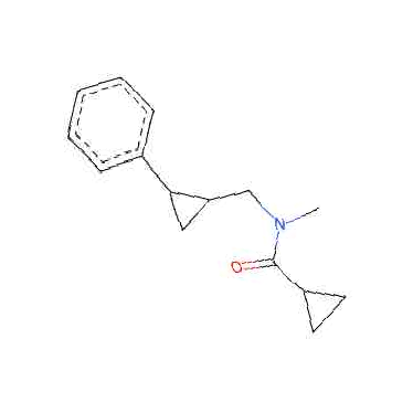 CN(CC1CC1c1ccccc1)C(=O)C1CC1